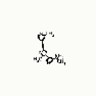 Cc1cc(C#Cc2cn(-c3cncc(N(C)C)c3)c(C)n2)ccn1